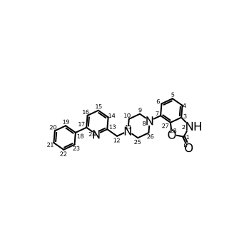 O=c1[nH]c2cccc(N3CCN(Cc4cccc(-c5ccccc5)n4)CC3)c2o1